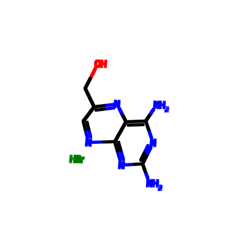 Br.Nc1nc(N)c2nc(CO)cnc2n1